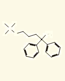 C[Si](C)(C)OCCCC([SiH3])(c1ccccc1)c1ccccc1